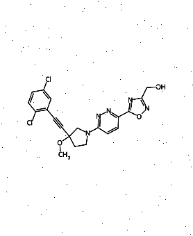 COC1(C#Cc2cc(Cl)ccc2Cl)CCN(c2ccc(-c3nc(CO)no3)nn2)C1